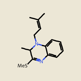 CSC1=Nc2ccccc2N(CC=C(C)C)C1C